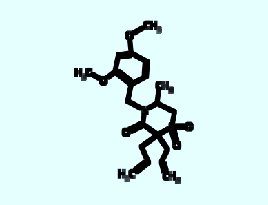 C=CCC1(CC=C)C(=O)N(Cc2ccc(OC)cc2OC)C(C)CS1(=O)=O